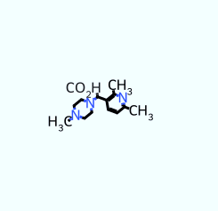 Cc1ccc(C(C(=O)O)N2CCN(C)CC2)c(C)n1